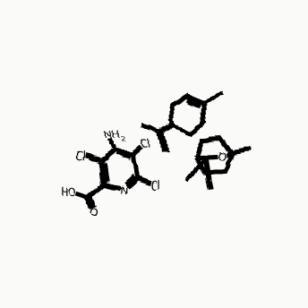 C=C(C)C1CC=C(C)CC1.CC12CCC(CC1)C(C)(C)O2.Nc1c(Cl)c(Cl)nc(C(=O)O)c1Cl